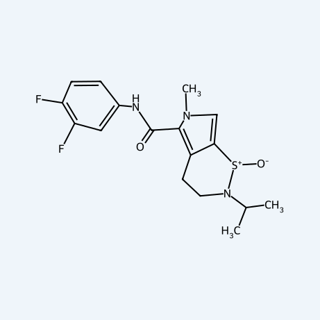 CC(C)N1CCc2c(cn(C)c2C(=O)Nc2ccc(F)c(F)c2)[S+]1[O-]